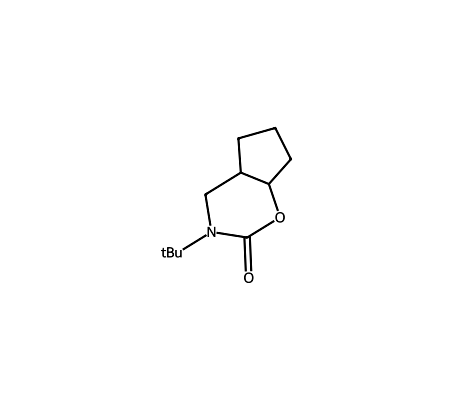 CC(C)(C)N1CC2CCCC2OC1=O